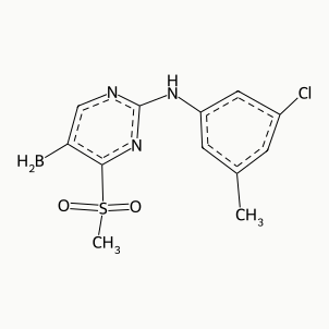 Bc1cnc(Nc2cc(C)cc(Cl)c2)nc1S(C)(=O)=O